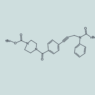 CCCCC(=O)N(CC#Cc1ccc(C(=O)N2CCN(C(=O)OC(C)(C)C)CC2)cc1)c1ccccc1